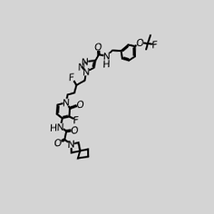 CC(C)(F)Oc1cccc(CNC(=O)c2cn(CC(F)CCn3ccc(NC(=O)C(=O)N4CC5(CCC5)C4)c(F)c3=O)nn2)c1